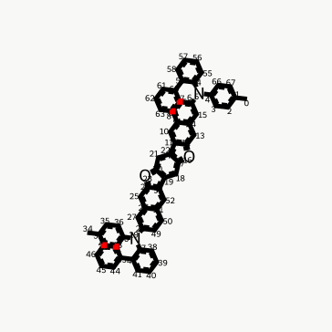 Cc1ccc(N(c2ccc3cc4c(cc3c2)oc2cc3c(cc24)oc2cc4cc(N(c5ccc(C)cc5)c5ccccc5-c5ccccc5)ccc4cc23)c2ccccc2-c2ccccc2)cc1